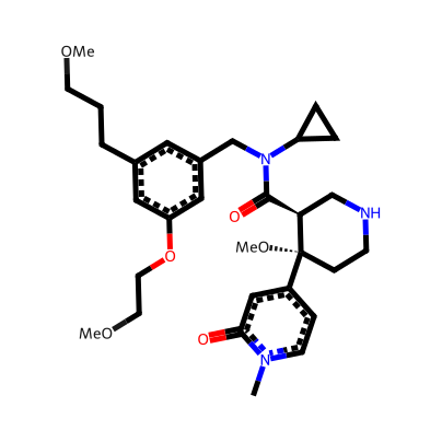 COCCCc1cc(CN(C(=O)[C@H]2CNCC[C@@]2(OC)c2ccn(C)c(=O)c2)C2CC2)cc(OCCOC)c1